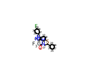 C[C@H](NC(=O)C(F)(F)F)[C@@H](Sc1ccc2c(cnn2-c2ccc(F)cc2)c1)c1ccccc1